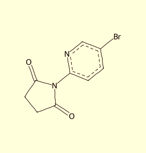 O=C1CCC(=O)N1c1ccc(Br)cn1